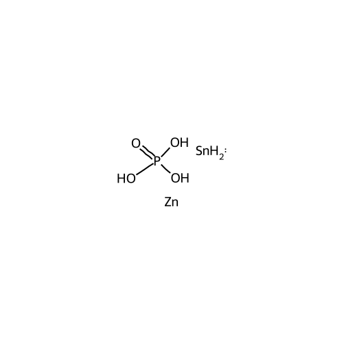 O=P(O)(O)O.[SnH2].[Zn]